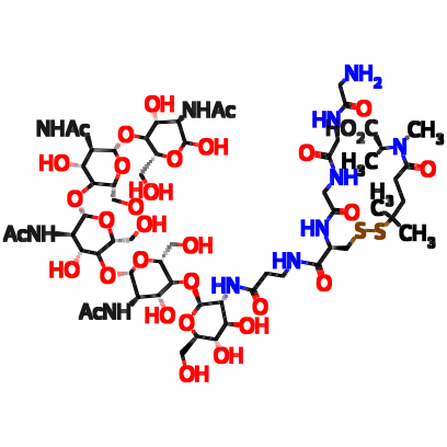 CC(=O)N[C@H]1[C@H](OC2[C@@H](CO)O[C@@H](OC3[C@@H](CO)O[C@@H](OC4[C@@H](CO)OC(O)[C@H](NC(C)=O)[C@H]4O)[C@H](NC(C)=O)[C@H]3O)[C@H](NC(C)=O)[C@H]2O)O[C@H](CO)C(O[C@@H]2O[C@H](CO)[C@@H](O)[C@H](O)[C@H]2NC(=O)CCNC(=O)[C@H](CSSC(C)(C)CCC(=O)N(C)[C@@H](C)C(=O)O)NC(=O)CNC(=O)CNC(=O)CN)[C@@H]1O